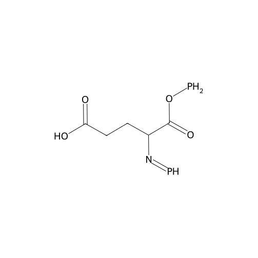 O=C(O)CCC(N=P)C(=O)OP